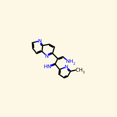 Cc1cccc(C(=N)/C(=C\N)c2ccc3ncccc3n2)n1